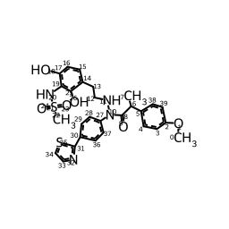 COc1ccc(C(C)C(=O)N(NCCc2ccc(O)c(NS(C)(=O)=O)c2O)c2ccc(-c3nccs3)cc2)cc1